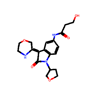 O=C(CCO)Nc1ccc2c(c1)/C(=C1\COCCN1)C(=O)N2C1CCOC1